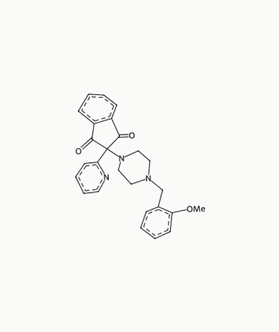 COc1ccccc1CN1CCN(C2(c3ccccn3)C(=O)c3ccccc3C2=O)CC1